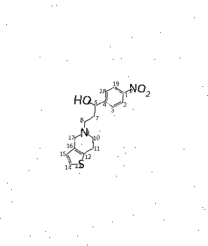 O=[N+]([O-])c1ccc(C(O)CCN2CCc3sccc3C2)cc1